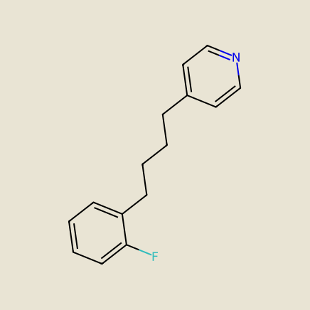 Fc1ccccc1CCCCc1ccncc1